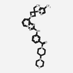 N#CCC1(n2cc(C(F)(F)F)cn2)CN(c2cccn3nc(Nc4cccc(C(=O)N5CCC(N6CCOCC6)CC5)c4)nc23)C1